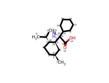 CC(C)[C@H]1CC[C@H](C)C[C@@H]1[C@](N)(C(=O)O)C1CCCCC1